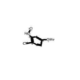 COc1ccc(Cl)c(NCl)c1